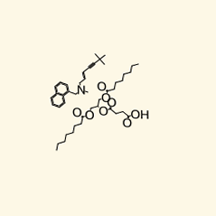 CCCCCCCC(=O)OCC(COC(=O)CCCCCCC)OC(=O)CCC(=O)O.CN(CC=CC#CC(C)(C)C)Cc1cccc2ccccc12